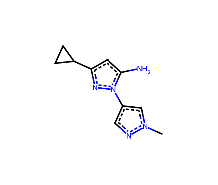 Cn1cc(-n2nc(C3CC3)cc2N)cn1